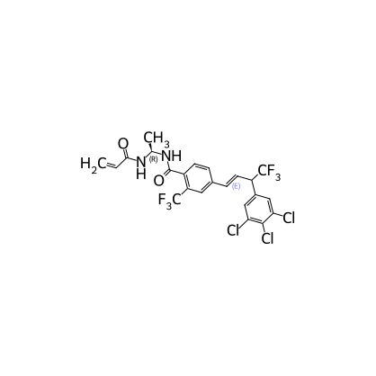 C=CC(=O)N[C@@H](C)NC(=O)c1ccc(/C=C/C(c2cc(Cl)c(Cl)c(Cl)c2)C(F)(F)F)cc1C(F)(F)F